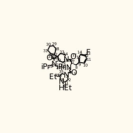 CC[C@@H]1CN(C(=O)N[C@H](Cc2ccc(F)cc2)C(=O)N2CCC(C(=O)N(C(C)C)C(C)C)(C3CCCCC3)CC2)C[C@H](CC)N1